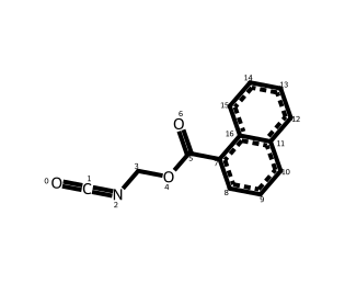 O=C=NCOC(=O)c1cccc2ccccc12